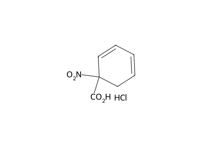 Cl.O=C(O)C1([N+](=O)[O-])C=CC=CC1